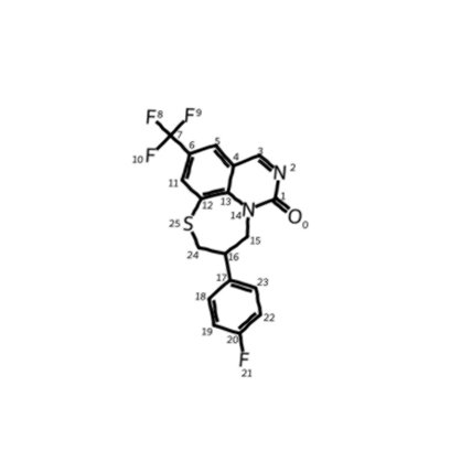 O=c1ncc2cc(C(F)(F)F)cc3c2n1CC(c1ccc(F)cc1)CS3